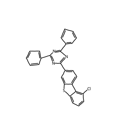 Clc1cccc2sc3cc(-c4nc(-c5ccccc5)nc(-c5ccccc5)n4)ccc3c12